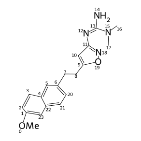 COc1ccc2cc(CCc3cc(N=C(N)N(C)C)no3)ccc2c1